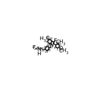 COc1ccc(-c2c(F)c3cc(C)ccc3n2Cc2ccc(CCNCCF)cc2)c(C)c1